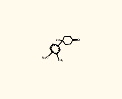 CCC1(c2ccc(OC)c(C)c2)CCC(=O)CC1